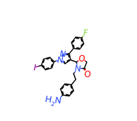 Nc1ccc(CCN2C(=O)COC2c2cn(-c3ccc(I)cc3)nc2-c2ccc(F)cc2)cc1